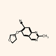 Cc1ncc2cc(O[C@H]3CCOC3)c(C#N)cc2n1